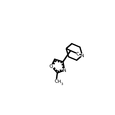 Cc1nc(C2CN3CCC2CC3)co1